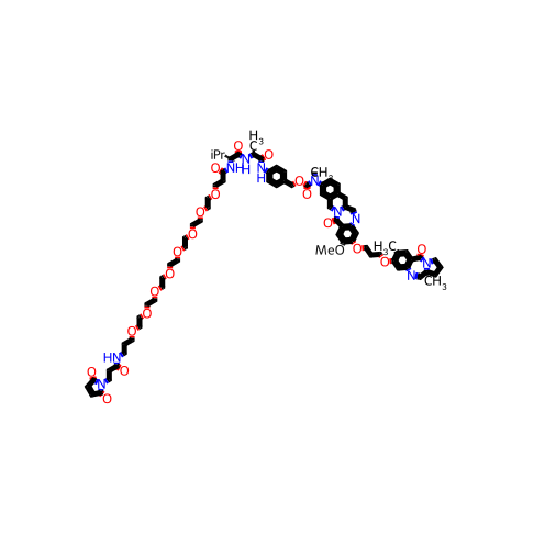 COc1cc2c(cc1OCCCOc1cc3c(cc1C)C(=O)N1CCC[C@@]1(C)C=N3)N=CC1Cc3ccc(N(C)C(=O)OCc4ccc(NC(=O)[C@H](C)NC(=O)[C@@H](NC(=O)CCOCCOCCOCCOCCOCCOCCOCCOCCCNC(=O)CCN5C(=O)C=CC5=O)C(C)C)cc4)cc3CN1C2=O